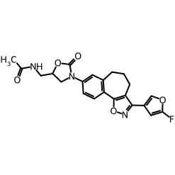 CC(=O)NCC1CN(c2ccc3c(c2)CCCc2c(-c4coc(F)c4)noc2-3)C(=O)O1